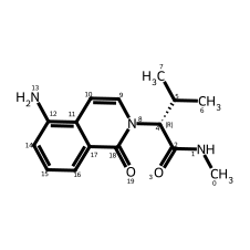 CNC(=O)[C@@H](C(C)C)n1ccc2c(N)cccc2c1=O